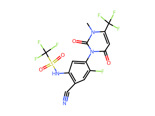 Cn1c(C(F)(F)F)cc(=O)n(-c2cc(NS(=O)(=O)C(F)(F)F)c(C#N)cc2F)c1=O